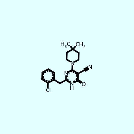 CC1(C)CCN(c2nc(Cc3ccccc3Cl)[nH]c(=O)c2C#N)CC1